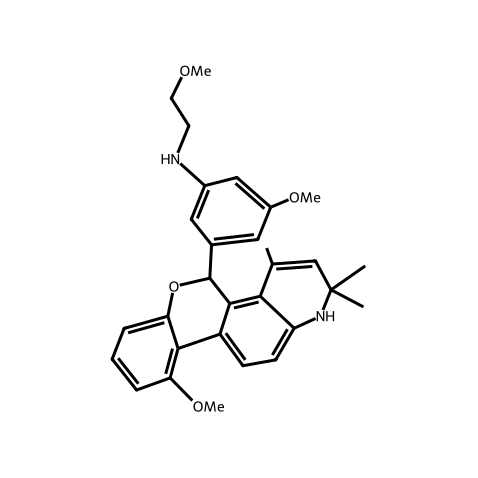 COCCNc1cc(OC)cc(C2Oc3cccc(OC)c3-c3ccc4c(c32)C(C)=CC(C)(C)N4)c1